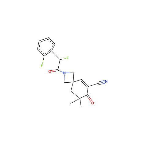 CC1(C)CC2(C=C(C#N)C1=O)CN(C(=O)C(F)c1ccccc1F)C2